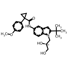 COc1ccc(C2(C(=O)Nc3ccc4c(c3)cc(C(C)(C)C)n4C[C@H](O)CO)CC2)cc1